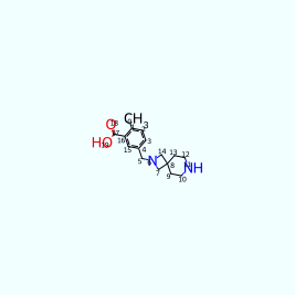 Cc1ccc(CN2CC3(CCNCC3)C2)cc1C(=O)O